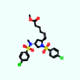 COC(=O)CCC/C=C\[C@@H]1C[C@@H](N(C)S(=O)(=O)c2ccc(Cl)cc2)CN1S(=O)(=O)c1ccc(Cl)cc1